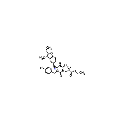 CCOC(=O)C1(Cn2c(=O)[nH]/c(=N\c3ccc4oc(CC)c(C)c4c3)n(Cc3ccc(Cl)cc3)c2=O)CC1